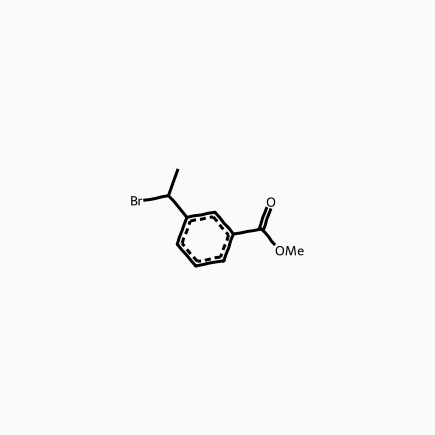 COC(=O)c1cccc(C(C)Br)c1